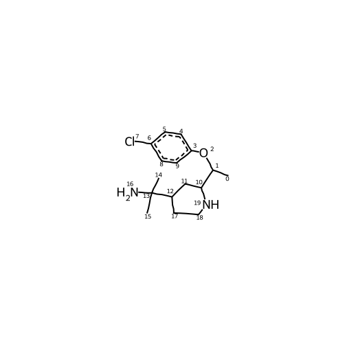 CC(Oc1ccc(Cl)cc1)C1CC(C(C)(C)N)CCN1